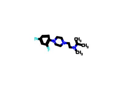 CC(C)N(C)CCN1CCN(c2ccc(F)cc2F)CC1